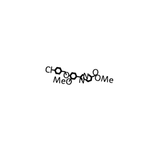 COC(=O)c1ccc2nc(-c3ccc(OCc4ccc(Cl)cc4)c(OC)c3)cn2c1